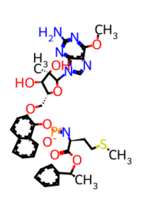 COc1nc(N)nc2c1ncn2C1O[C@H](COc2ccc3ccccc3c2O/[P+]([O-])=N/[C@@H](CCSC)C(=O)O[C@@H](C)c2ccccc2)[C@@H](O)[C@@]1(C)O